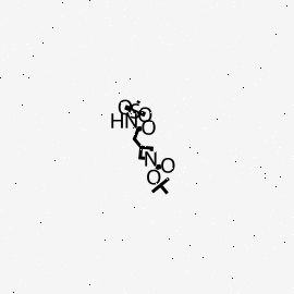 CC(C)(C)OC(=O)N1CC(CC(=O)NS(C)(=O)=O)C1